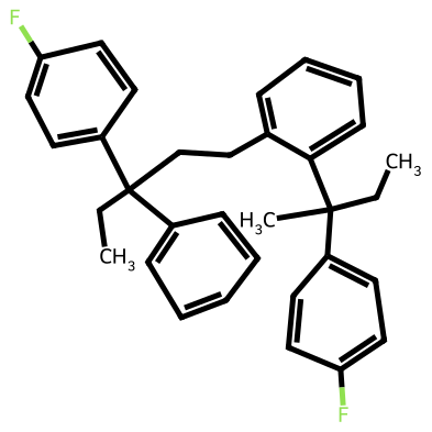 CCC(C)(c1ccc(F)cc1)c1ccccc1CCC(CC)(c1ccccc1)c1ccc(F)cc1